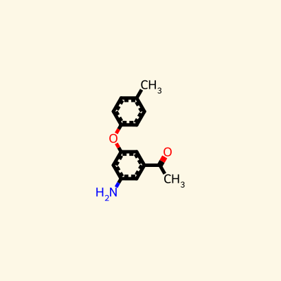 CC(=O)c1cc(N)cc(Oc2ccc(C)cc2)c1